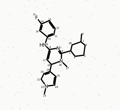 CC1CCCC(C2=NC(Nc3cccc(F)c3)=CC(C3=CCN(C)C=C3)N2C)C1